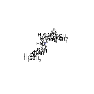 Cc1[nH]c(/C=C2\C(=O)Nc3cc(NC(=O)Nc4cc(C(C)(C)C)on4)ccc32)c(C)c1NC(=O)[C@H]1CCCN1C(=O)OC(C)(C)C